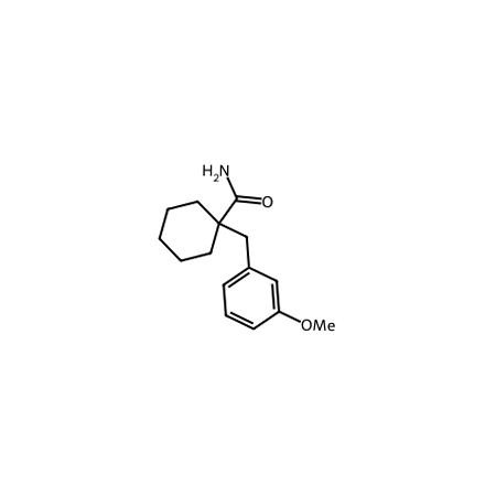 COc1cccc(CC2(C(N)=O)CCCCC2)c1